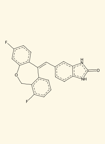 O=c1[nH]c2ccc(C=C3c4ccc(F)cc4OCc4c(F)cccc43)cc2[nH]1